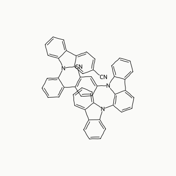 N#Cc1ccc2c3ccccc3n(-c3ccccc3-c3ccc(-n4c5ccccc5c5cccc(-n6c7ccccc7c7ccccc76)c54)cc3C#N)c2c1